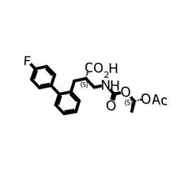 CC(=O)O[C@H](C)OC(=O)NC[C@H](Cc1ccccc1-c1ccc(F)cc1)C(=O)O